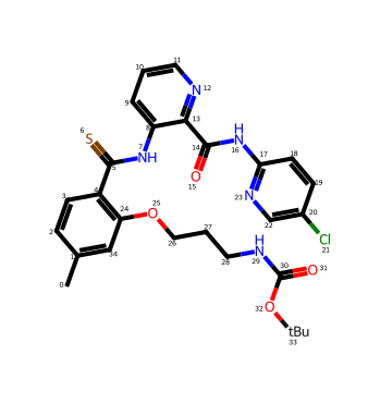 Cc1ccc(C(=S)Nc2cccnc2C(=O)Nc2ccc(Cl)cn2)c(OCCCNC(=O)OC(C)(C)C)c1